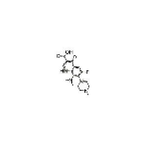 CN1CCN(c2c(F)cc3c(=O)c(C(=O)O)c[nH]c3c2N(C)C)CC1